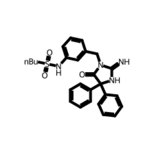 CCCCS(=O)(=O)Nc1cccc(CN2C(=N)NC(c3ccccc3)(c3ccccc3)C2=O)c1